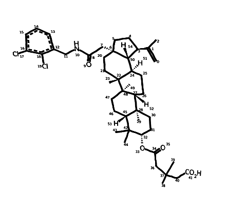 C=C(C)[C@@H]1CC[C@]2(CC(=O)NCc3cccc(Cl)c3Cl)CC[C@]3(C)[C@H](CC[C@@H]4[C@@]5(C)CC[C@H](OC(=O)CC(C)(C)CC(=O)O)C(C)(C)[C@@H]5CC[C@]43C)[C@@H]12